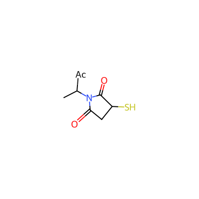 CC(=O)C(C)N1C(=O)CC(S)C1=O